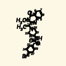 CC(c1nc2ccccc2c(=O)n1C)N1CCC(NS(=O)(=O)c2ccc(Br)cc2)CC1